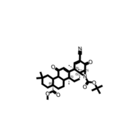 COC(=O)[C@@]12CCC3C(C(=O)C=C4[C@@]3(C)CC[C@@]35N(C(=O)OC(C)(C)C)[C@]3(C)C(=O)C(C#N)=C[C@]45C)C1CC(C)(C)CC2